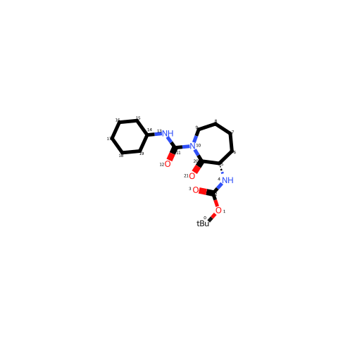 CC(C)(C)OC(=O)N[C@H]1CCCCN(C(=O)NC2CCCCC2)C1=O